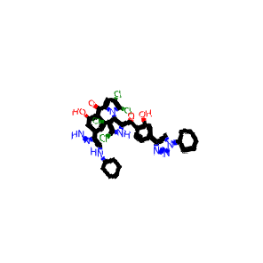 N=N/C(=C\NC1CCCCC1)c1ccc(C(=O)c2cc(Cl)c(Cl)n2-c2c(C(=O)c3ccc(-c4cn(C5CCCCC5)nn4)cc3O)[nH]c(Cl)c2Cl)c(O)c1